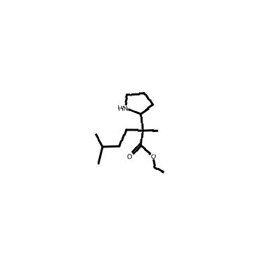 CCOC(=O)C(C)(CCC(C)C)C1CCCN1